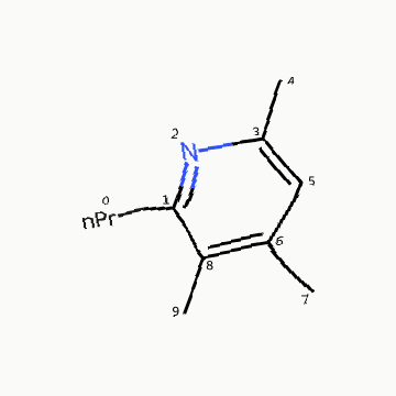 CCCc1nc(C)cc(C)c1C